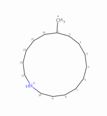 CC1CCCCCCCCCNCCCCC1